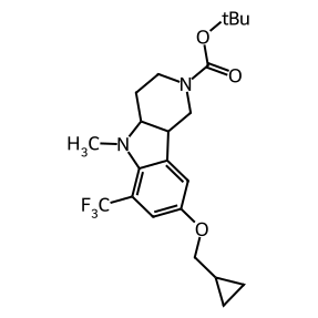 CN1c2c(cc(OCC3CC3)cc2C(F)(F)F)C2CN(C(=O)OC(C)(C)C)CCC21